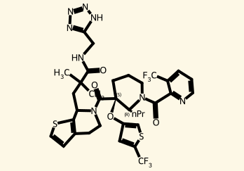 CCC[C@H]1N(C(=O)c2ncccc2C(F)(F)F)CCC[C@@]1(Oc1csc(C(F)(F)F)c1)C(=O)N1CCc2ccsc2C1CC(C)(C)C(=O)NCc1nnn[nH]1